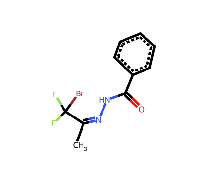 C/C(=N/NC(=O)c1ccccc1)C(F)(F)Br